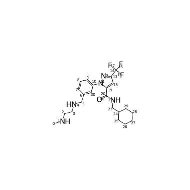 CNCCNCc1cccc(-n2nc(C(F)(F)F)cc2C(=O)NCC2CCCCC2)c1